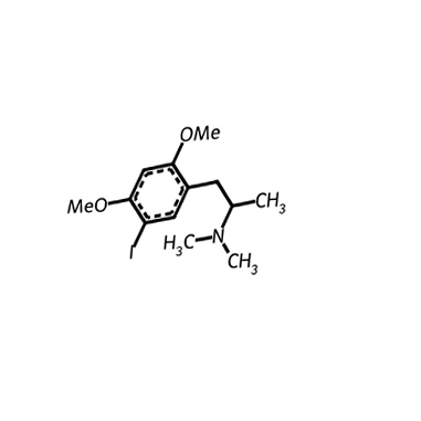 COc1cc(OC)c(CC(C)N(C)C)cc1I